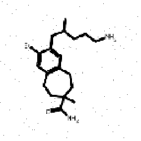 CCc1cc2c(cc1CC(C)CCCN)CCC(C)(C(N)=O)CC2